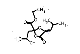 CCOC(=O)C1(CC(C)C)OC(=O)/C(=C/C(C)C)O1